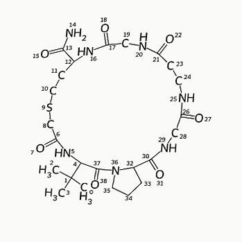 CC(C)(C)C1NC(=O)CSCCC(C(N)=O)NC(=O)CNC(=O)CCNC(=O)CNC(=O)C2CCCN2C1=O